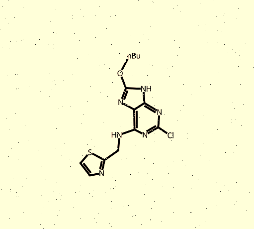 CCCCOc1nc2c(NCc3nccs3)nc(Cl)nc2[nH]1